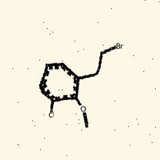 COc1c(Cl)cccc1CCBr